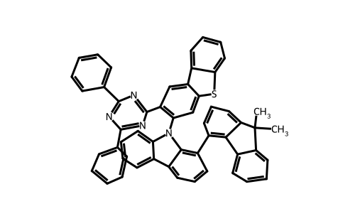 CC1(C)c2ccccc2-c2c(-c3cccc4c5ccccc5n(-c5cc6sc7ccccc7c6cc5-c5nc(-c6ccccc6)nc(-c6ccccc6)n5)c34)cccc21